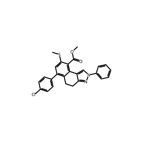 COC(=O)c1c(SC)cc(-c2ccc(Cl)cc2)c2c1-c1cn(-c3ccccc3)nc1CC2